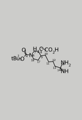 CC(=O)O.CC(C)(C)OC(=O)N1CCC(CCCCC(=N)N)CC1